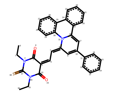 CCN1C(=O)C(=CC=C2C=C(c3ccccc3)C=C3c4ccccc4-c4ccccc4N23)C(=O)N(CC)C1=S